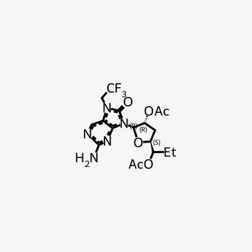 CCC(OC(C)=O)[C@@H]1C[C@@H](OC(C)=O)[C@H](n2c(=O)n(CC(F)(F)F)c3cnc(N)nc32)O1